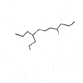 CCCC(I)CCCC(CCC)CCC